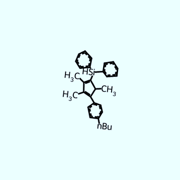 CCCCc1ccc(C2=C(C)C(C)=C([SiH](c3ccccc3)c3ccccc3)C2C)cc1